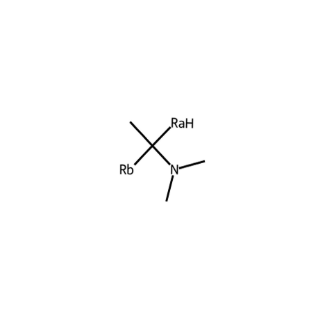 CN(C)[C](C)([Rb])[RaH]